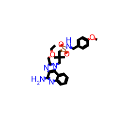 CCOCc1nc2c(N)nc3ccccc3c2n1CC(C)(C)CS(=O)(=O)NCc1ccc(OC)cc1